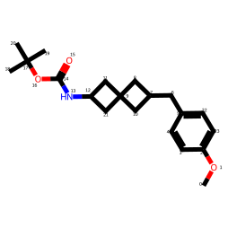 COc1ccc(CC2CC3(C2)CC(NC(=O)OC(C)(C)C)C3)cc1